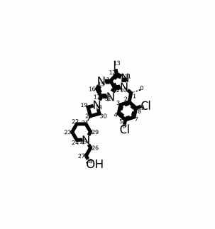 C[C@H](c1ccc(Cl)cc1Cl)n1nc(I)c2ncc(N3CC([C@H]4CCCN(CCO)C4)C3)nc21